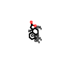 CC1(C)CCC[C@]2(C)[C@@H]1CC[C@]1(C)OC(=O)C[C@@H]21